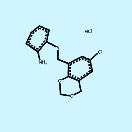 Cl.Nc1ccccc1SCc1cc(Cl)cc2c1OCOC2